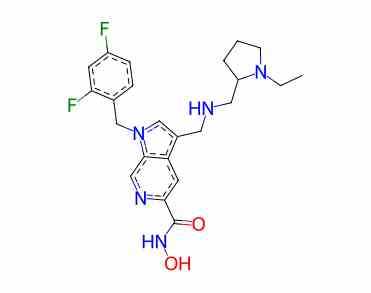 CCN1CCCC1CNCc1cn(Cc2ccc(F)cc2F)c2cnc(C(=O)NO)cc12